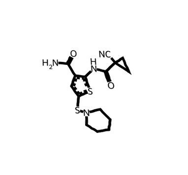 N#CC1(C(=O)Nc2sc(SN3CCCCC3)cc2C(N)=O)CC1